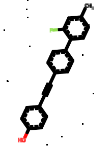 Cc1ccc(-c2ccc(C#Cc3ccc(O)cc3)cc2)c(F)c1